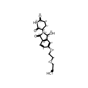 C#CCOCCOc1ccc2c(c1)C(O)N(C1CCC(=O)NC1=O)C2=O